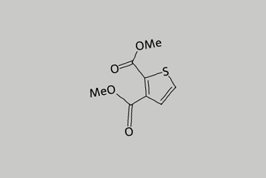 COC(=O)c1ccsc1C(=O)OC